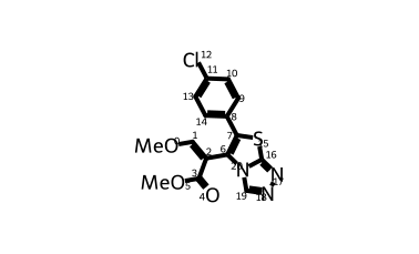 COC=C(C(=O)OC)c1c(-c2ccc(Cl)cc2)sc2nncn12